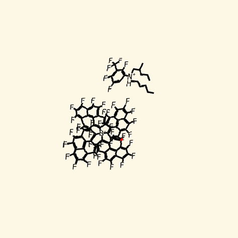 CCCCCC[NH+](CC(C)CCC)c1cc(F)c(F)c(C(F)(F)F)c1F.Fc1c(F)c2c(F)c(F)c3c(F)c(F)c([B-](c4c(F)c(F)c5c(F)c(F)c6c(F)c(F)c(F)c7c(F)c(F)c4c5c67)(c4c(F)c(F)c5c(F)c(F)c6c(F)c(F)c(F)c7c(F)c(F)c4c5c67)c4c(F)c(F)c5c(F)c(F)c6c(F)c(F)c(F)c7c(F)c(F)c4c5c67)c4c(F)c(F)c(c1F)c2c34